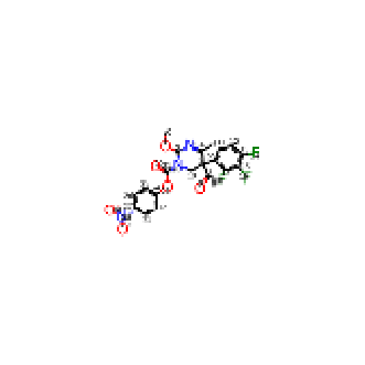 COC1N=C(C)C(C(C)=O)(c2ccc(F)c(F)c2F)CN1C(=O)Oc1ccc([N+](=O)[O-])cc1